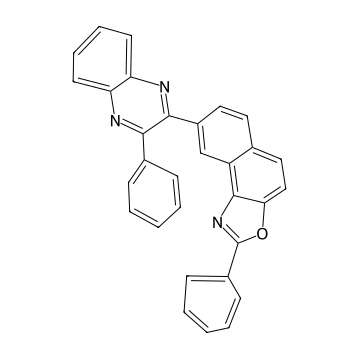 c1ccc(-c2nc3c(ccc4ccc(-c5nc6ccccc6nc5-c5ccccc5)cc43)o2)cc1